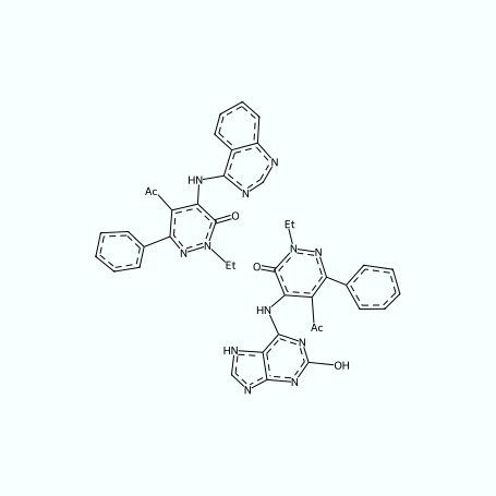 CCn1nc(-c2ccccc2)c(C(C)=O)c(Nc2nc(O)nc3nc[nH]c23)c1=O.CCn1nc(-c2ccccc2)c(C(C)=O)c(Nc2ncnc3ccccc23)c1=O